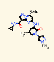 CNc1cc(Nc2cc(C(F)(F)F)cn(-c3cnn(C)c3)c2=O)nc2c(C(=O)NC3CC3)cnn12